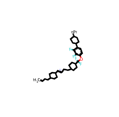 C=CCCC1CCC(/C=C/CCC2CCC(C(F)(F)Oc3ccc(C4CCC(CCC)CC4)c(F)c3F)CC2)CC1